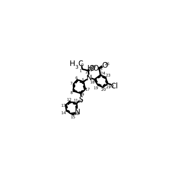 CCC(=O)N(c1cccc(Sc2ccccn2)c1)c1ccc(Cl)cc1C(=O)O